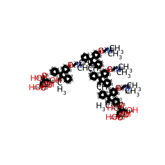 CC/C(=C(\c1ccccc1)c1ccc(OCCN(C)C)cc1)c1ccccc1.CC/C(=C(\c1ccccc1)c1ccc(OCCN(C)C)cc1)c1ccccc1.CC/C(=C(\c1ccccc1)c1ccc(OCCN(C)C)cc1)c1ccccc1.CC/C(=C(\c1ccccc1)c1ccc(OCCN(C)C)cc1)c1ccccc1.O=C(O)CC(O)(CC(=O)O)C(=O)O.O=C(O)CC(O)(CC(=O)O)C(=O)O